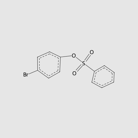 O=S(=O)(Oc1ccc(Br)cc1)c1ccccc1